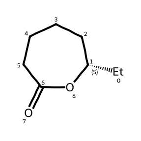 CC[C@H]1CCCCC(=O)O1